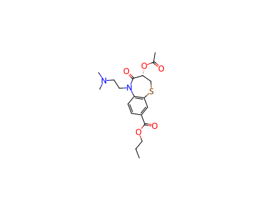 CCCOC(=O)c1ccc2c(c1)SC[C@@H](OC(C)=O)C(=O)N2CCN(C)C